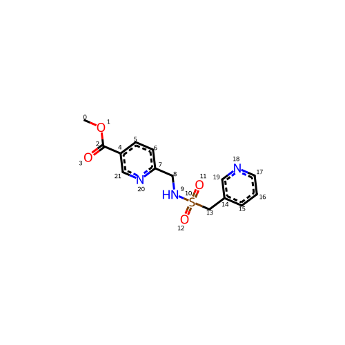 COC(=O)c1ccc(CNS(=O)(=O)Cc2cccnc2)nc1